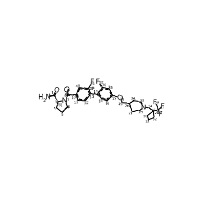 NC(=O)[C@@H]1CCCN1C(=O)c1ccc(-c2ccc(OCC3CCN(CC4(C(F)(F)F)CCC4)CC3)cc2F)c(F)c1